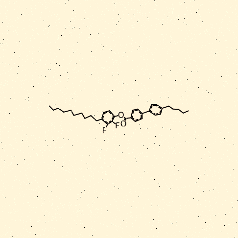 CCCCCCCCCCc1ccc(OC(=O)c2ccc(-c3ccc(CCCCC)cc3)cc2)c(F)c1F